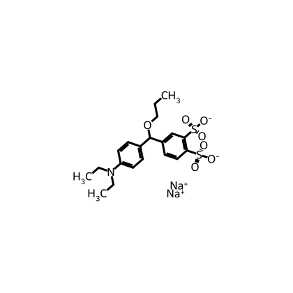 CCCOC(c1ccc(N(CC)CC)cc1)c1ccc(S(=O)(=O)[O-])c(S(=O)(=O)[O-])c1.[Na+].[Na+]